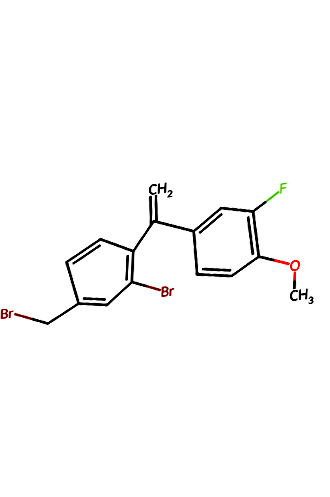 C=C(c1ccc(OC)c(F)c1)c1ccc(CBr)cc1Br